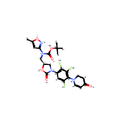 Cc1cc(N(C[C@H]2CN(c3cc(F)c(N4C=CC(=O)CC4)c(F)c3F)C(=O)O2)C(=O)OC(C)(C)C)no1